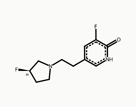 O=c1[nH]cc(CCN2CC[C@@H](F)C2)cc1F